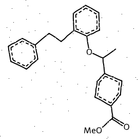 COC(=O)c1ccc(C(C)Oc2ccccc2CCc2ccccc2)cc1